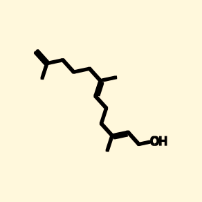 C=C(C)CCCC(C)=CCCC(C)=CCO